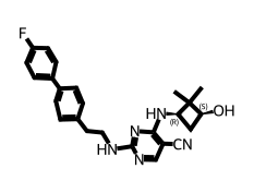 CC1(C)[C@@H](O)C[C@H]1Nc1nc(NCCc2ccc(-c3ccc(F)cc3)cc2)ncc1C#N